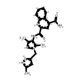 Cc1cc(Cn2nc(C(F)(F)F)c(NC(=O)c3cc(C(N)=O)c4ccccc4n3)c2C)on1